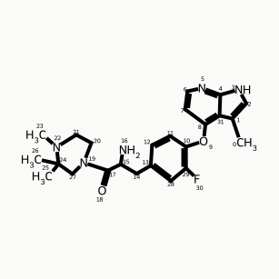 Cc1c[nH]c2nccc(Oc3ccc(CC(N)C(=O)N4CCN(C)C(C)(C)C4)cc3F)c12